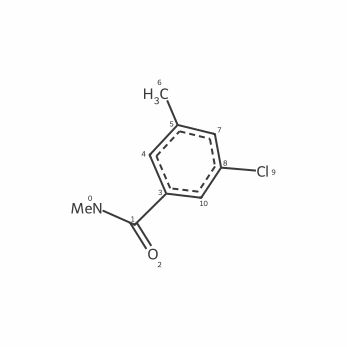 CNC(=O)c1cc(C)cc(Cl)c1